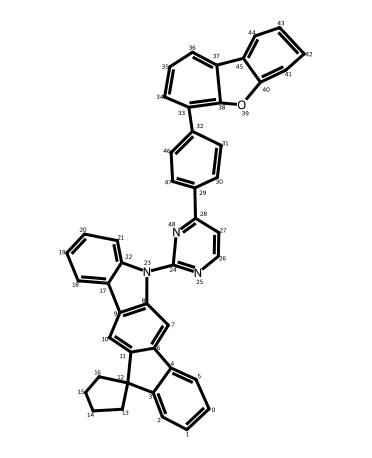 c1ccc2c(c1)-c1cc3c(cc1C21CCCC1)c1ccccc1n3-c1nccc(-c2ccc(-c3cccc4c3oc3ccccc34)cc2)n1